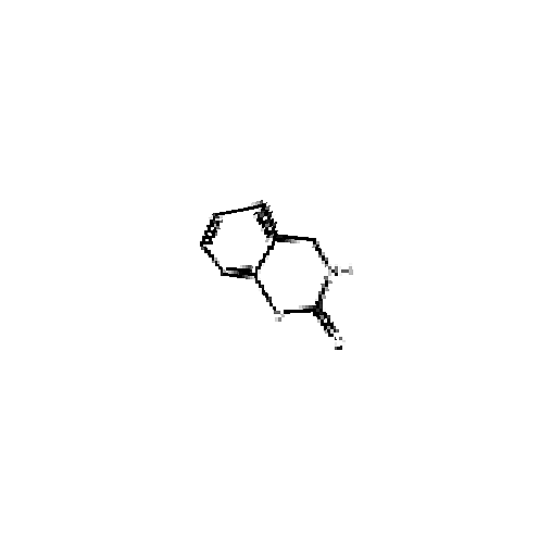 O=C1NCc2ccccc2S1